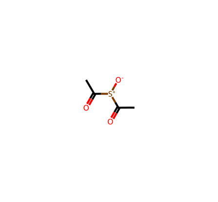 CC(=O)[S+]([O-])C(C)=O